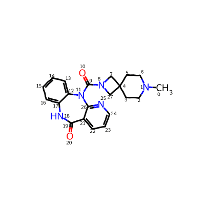 CN1CCC2(CC1)CN(C(=O)N1c3ccccc3NC(=O)c3cccnc31)C2